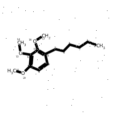 CCCCCCc1ccc(OC)c(OC)c1OC